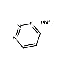 [PbH2].c1cnnnc1